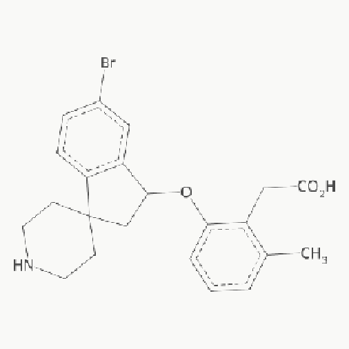 Cc1cccc(OC2CC3(CCNCC3)c3ccc(Br)cc32)c1CC(=O)O